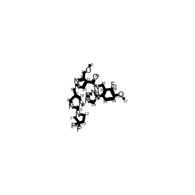 COCc1nn(Cc2cnc(N3CCC(F)(F)C3)nc2)cc1C(=O)NCc1c(-n2cnnn2)ccc(OC)c1F